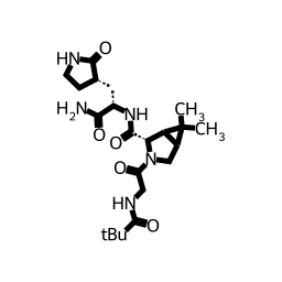 CC(C)(C)C(=O)NCC(=O)N1CC2C([C@H]1C(=O)N[C@@H](C[C@@H]1CCNC1=O)C(N)=O)C2(C)C